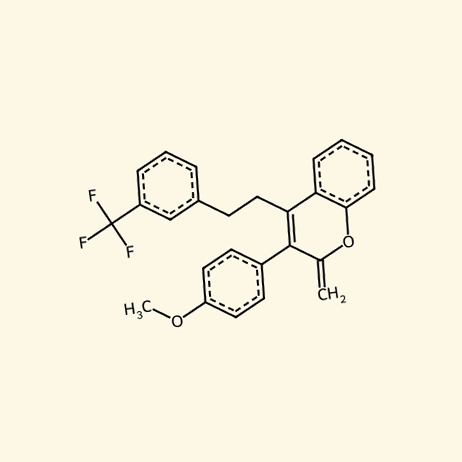 C=C1Oc2ccccc2C(CCc2cccc(C(F)(F)F)c2)=C1c1ccc(OC)cc1